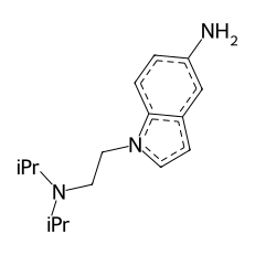 CC(C)N(CCn1ccc2cc(N)ccc21)C(C)C